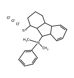 C[Si](C)(c1ccccc1)C1C2C=CC=CC2C2CCC[CH]([Ti+3])C21.[Cl-].[Cl-].[Cl-]